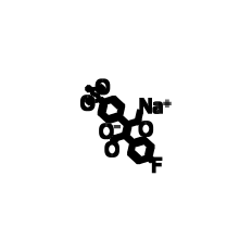 CC(=O)C(=C(C(=O)[O-])c1ccc(F)cc1)c1ccc(S(C)(=O)=O)cc1.[Na+]